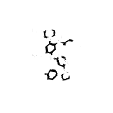 C=CC(=O)Nc1cc(Nc2cc(N3OCC[C@@H]3c3ccc(F)c(C(F)(F)F)c3)ncn2)c(OC)cc1N1CCO[C@@H](C)C1